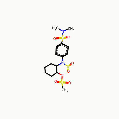 CN(C)S(=O)(=O)c1ccc(N(C2CCCCC2OS(C)(=O)=O)[SH](=O)=O)cc1